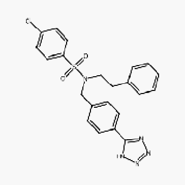 O=S(=O)(c1ccc(Cl)cc1)N(CCc1ccccc1)Cc1ccc(-c2nnn[nH]2)cc1